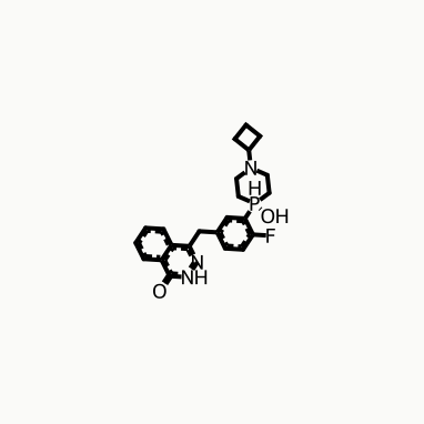 O=c1[nH]nc(Cc2ccc(F)c([PH]3(O)CCN(C4CCC4)CC3)c2)c2ccccc12